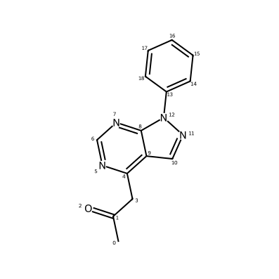 CC(=O)Cc1ncnc2c1cnn2-c1ccccc1